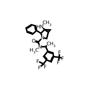 CNC12CC1CN(C(=O)N(C)C(C)c1cc(C(F)(F)F)cc(C(F)(F)F)c1)C2c1ccccc1